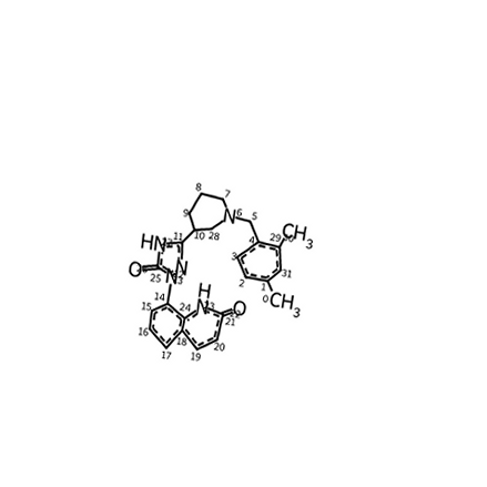 Cc1ccc(CN2CCCC(c3nn(-c4cccc5ccc(=O)[nH]c45)c(=O)[nH]3)C2)c(C)c1